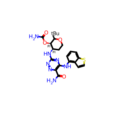 CC(C)(C)C1OCC[C@@H](Nc2nnc(C(N)=O)c(Nc3cccc4sccc34)n2)[C@H]1OC(N)=O